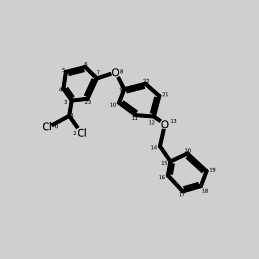 ClC(Cl)c1cccc(Oc2ccc(OCc3ccccc3)cc2)c1